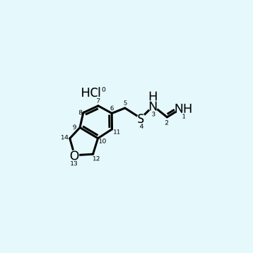 Cl.N=CNSCc1ccc2c(c1)COC2